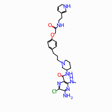 CNc1nc(N)c(Cl)nc1C(=O)NC1CCCN(CCCc2ccc(OCC(=O)NCCC3=CNCC=C3)cc2)C1